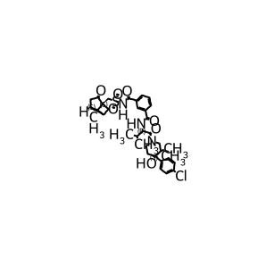 CC(C)[C@@H](NC(=O)c1cccc(C(=O)NS(=O)(=O)C[C@]23CC4[C@H](CC2=O)C43C)c1)C(=O)N1CC[C@](O)(c2ccc(Cl)cc2)C(C)(C)C1